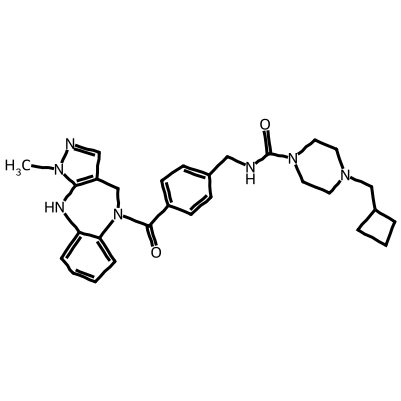 Cn1ncc2c1Nc1ccccc1N(C(=O)c1ccc(CNC(=O)N3CCN(CC4CCC4)CC3)cc1)C2